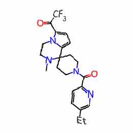 CCc1ccc(C(=O)N2CCC3(CC2)c2ccc(C(=O)C(F)(F)F)n2CCN3C)nc1